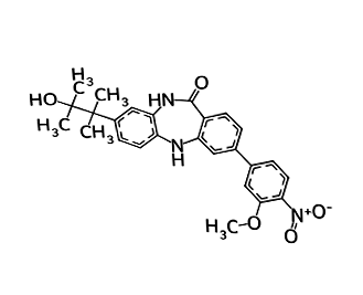 COc1cc(-c2ccc3c(c2)Nc2ccc(C(C)(C)C(C)(C)O)cc2NC3=O)ccc1[N+](=O)[O-]